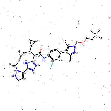 Cc1nn(COCC[Si](C)(C)C)c(C)c1-c1ccc(NC(=O)C(c2nnc(-c3ccnn3C(C)C)[nH]2)C(C2CC2)C2CC2)c(F)c1